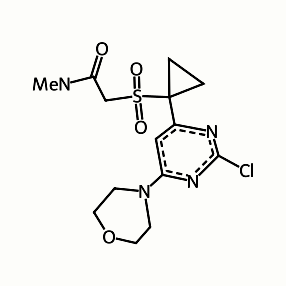 CNC(=O)CS(=O)(=O)C1(c2cc(N3CCOCC3)nc(Cl)n2)CC1